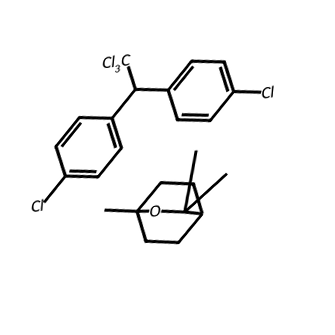 CC12CCC(CC1)C(C)(C)O2.Clc1ccc(C(c2ccc(Cl)cc2)C(Cl)(Cl)Cl)cc1